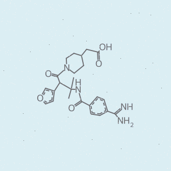 CC(C)(NC(=O)c1ccc(C(=N)N)cc1)C(C(=O)N1CCC(CC(=O)O)CC1)c1ccoc1